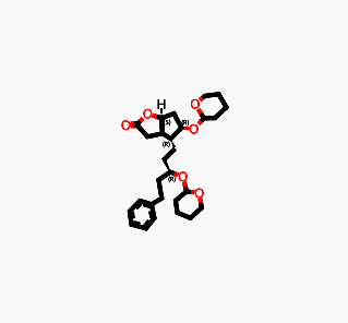 O=C1CC2[C@H](C[C@@H](OC3CCCCO3)[C@@H]2CC[C@H](CCc2ccccc2)OC2CCCCO2)O1